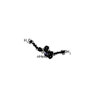 C=CC(=O)OCCCCCCOc1ccc(C(=O)Oc2cc(/C=N/N(CCCCCC)c3nc4ccccc4s3)c(OC(=O)c3ccc(OCCCCCCOC(=O)C=C)cc3)c3ccccc23)cc1